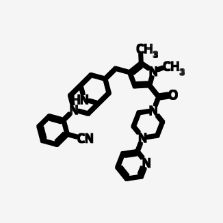 Cc1c(CC2CC3CN(c4ccccc4C#N)CC(C2)N3)cc(C(=O)N2CCN(c3ccccn3)CC2)n1C